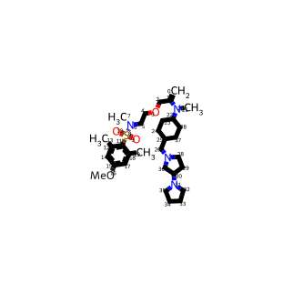 C=C(COCCN(C)S(=O)(=O)c1c(C)cc(OC)cc1C)N(C)C1CCC(CN2CCC(N3CCCC3)C2)CC1